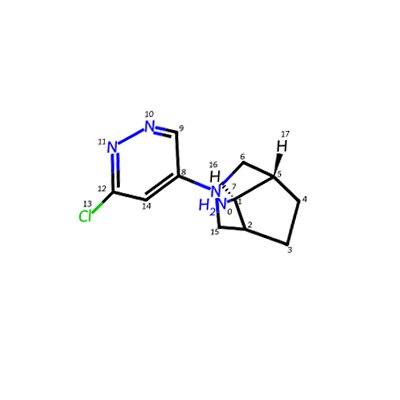 N[C@@H]1C2CC[C@H]1CN(c1cnnc(Cl)c1)C2